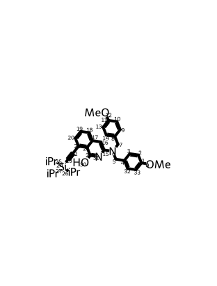 COc1ccc(CN(Cc2ccc(OC)cc2)c2cc3cccc(C#C[Si](C(C)C)(C(C)C)C(C)C)c3c(O)n2)cc1